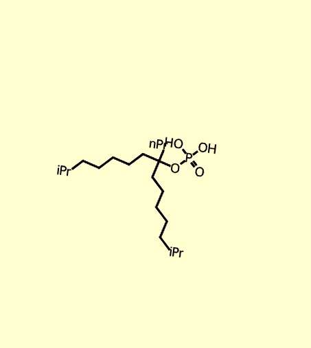 CCCC(CCCCCC(C)C)(CCCCCC(C)C)OP(=O)(O)O